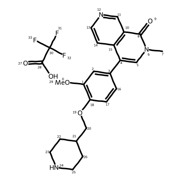 COc1cc(-c2cn(C)c(=O)c3cnccc23)ccc1OCC1CCNCC1.O=C(O)C(F)(F)F